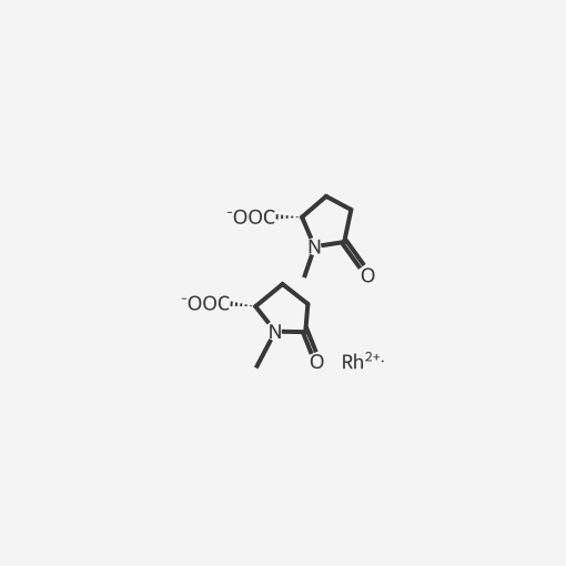 CN1C(=O)CC[C@H]1C(=O)[O-].CN1C(=O)CC[C@H]1C(=O)[O-].[Rh+2]